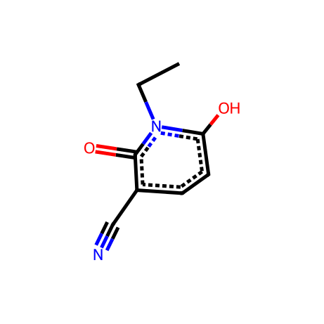 CCn1c(O)ccc(C#N)c1=O